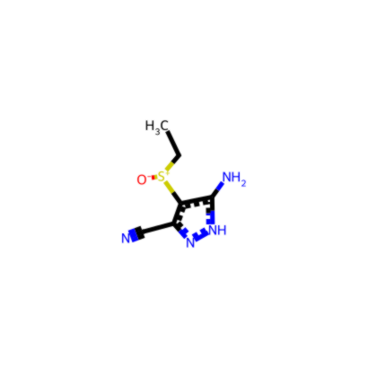 CC[S+]([O-])c1c(C#N)n[nH]c1N